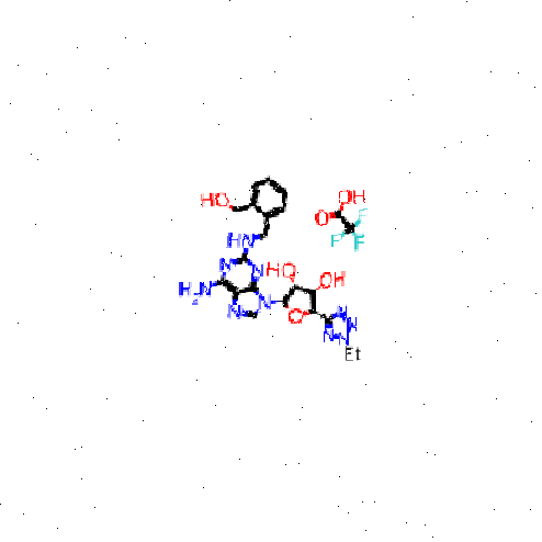 CCn1nnc([C@H]2O[C@@H](n3cnc4c(N)nc(NCc5ccccc5CO)nc43)[C@H](O)[C@@H]2O)n1.O=C(O)C(F)(F)F